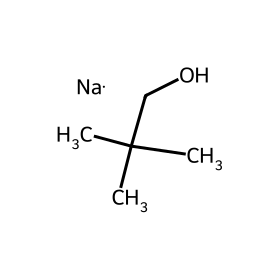 CC(C)(C)CO.[Na]